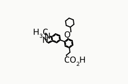 Cn1ncc2cc(-c3cc(CCC(=O)O)ccc3OCC3CCCCC3)ccc21